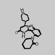 O=C1CCCCN1c1cccc2nn3c(C4CCNCC4)cc(=O)[nH]c3c12